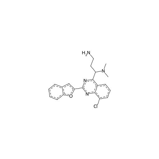 CN(C)C(CCN)c1nc(-c2cc3ccccc3o2)nc2c(Cl)cccc12